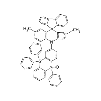 Cc1ccc2c(c1)C1(c3ccccc3-c3ccccc31)c1cc(C)ccc1N2c1ccc2c(c1)S(c1ccccc1)(c1ccccc1)c1ccccc1P2(=O)c1ccccc1